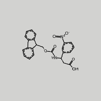 O=C(O)CC(NC(=O)OCC1c2ccccc2-c2ccccc21)c1cccc([N+](=O)[O-])c1